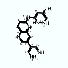 CC1=CNNC(Nc2ccc3ncc(/C(C=N)=C/N)cc3n2)=C1